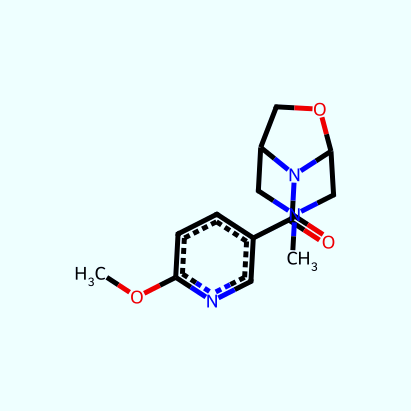 COc1ccc(C(=O)N2C3COC2CN(C)C3)cn1